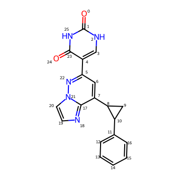 O=c1[nH]cc(-c2cc(C3CC3c3ccccc3)c3nccn3n2)c(=O)[nH]1